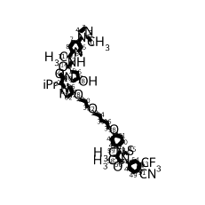 Cc1nccn1-c1ccc([C@H](C)NC(=O)[C@@H]2C[C@@H](O)CN2C(=O)[C@@H](C(C)C)n2cc(OCCCOCCCCCOc3ccc(N4C(=S)N(c5ccc(C#N)c(C(F)(F)F)c5)C(=O)C4(C)C)cc3)cn2)nc1